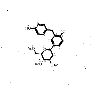 CC(=O)OC[C@H]1O[C@@H](c2ccc(Cl)c(Cc3ccc(O)cc3)c2)C[C@@H](OC(C)=O)[C@@H]1OC(C)=O